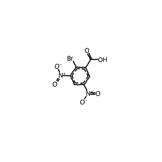 O=C(O)c1cc([N+](=O)[O-])cc([N+](=O)[O-])c1Br